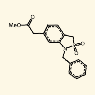 COC(=O)Cc1ccc2c(c1)N(Cc1ccccc1)S(=O)(=O)C2